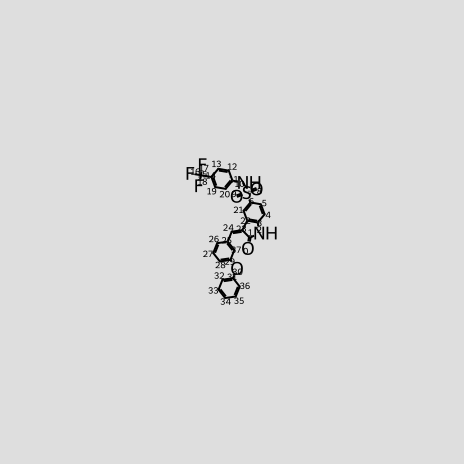 O=C1Nc2ccc(S(=O)(=O)Nc3ccc(C(F)(F)F)cc3)cc2C1=Cc1cccc(Oc2ccccc2)c1